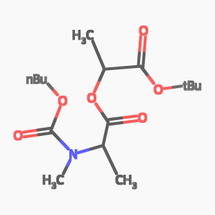 CCCCOC(=O)N(C)C(C)C(=O)OC(C)C(=O)OC(C)(C)C